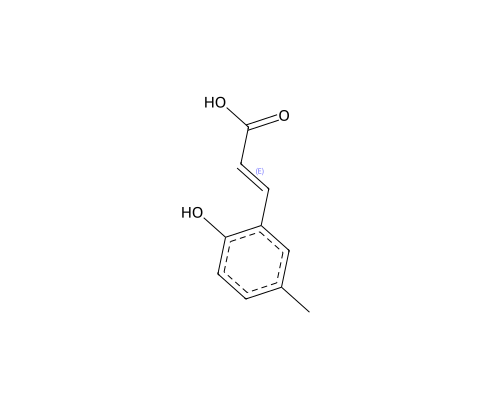 Cc1ccc(O)c(/C=C/C(=O)O)c1